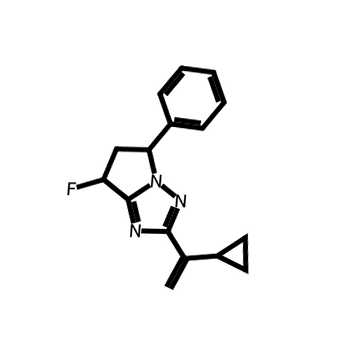 C=C(c1nc2n(n1)C(c1ccccc1)CC2F)C1CC1